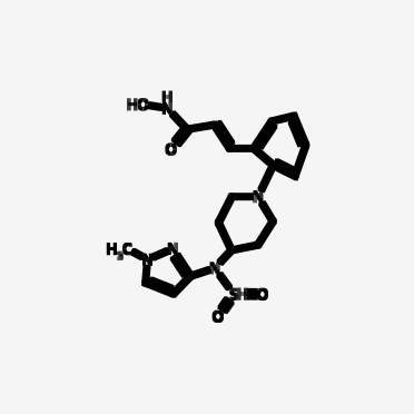 Cn1ccc(N(C2CCN(c3ccccc3/C=C/C(=O)NO)CC2)[SH](=O)=O)n1